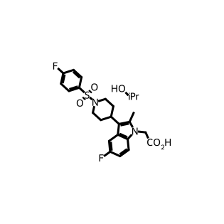 CC(C)O.Cc1c(C2CCN(S(=O)(=O)c3ccc(F)cc3)CC2)c2cc(F)ccc2n1CC(=O)O